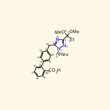 CCCCCCn1nc(C(CC)(OC)OC)nc1Cc1ccc(-c2ccccc2C(=O)O)cc1